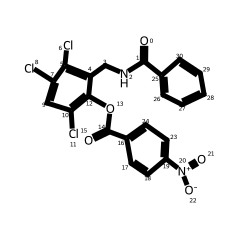 O=C(NCc1c(Cl)c(Cl)cc(Cl)c1OC(=O)c1ccc([N+](=O)[O-])cc1)c1ccccc1